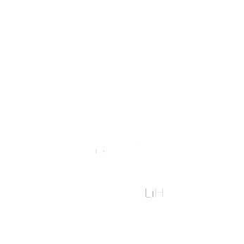 CC(=O)C=C(C)C.[LiH]